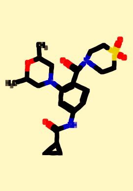 CC1CN(c2cc(NC(=O)C3CC3)ccc2C(=O)N2CCS(=O)(=O)CC2)CC(C)O1